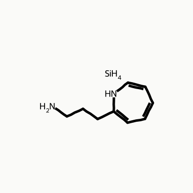 NCCCC1=CC=CC=CN1.[SiH4]